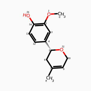 COc1cc([C@H]2CC(C)=CCO2)ccc1O